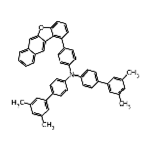 Cc1cc(C)cc(-c2ccc(N(c3ccc(-c4cc(C)cc(C)c4)cc3)c3ccc(-c4cccc5oc6cc7ccccc7cc6c45)cc3)cc2)c1